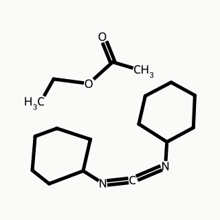 C(=NC1CCCCC1)=NC1CCCCC1.CCOC(C)=O